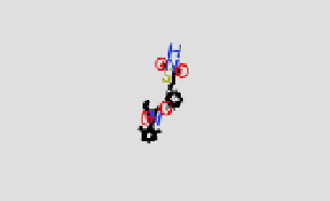 CCc1oc(-c2c(C)cccc2C)nc1CO[C@H]1CCC[C@@H](CCC2SC(=O)NC2=O)C1